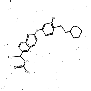 CC(=O)NC(C)c1ccc2nc(Oc3ccc(OCC4CCCCC4)c(Br)c3)ccc2c1